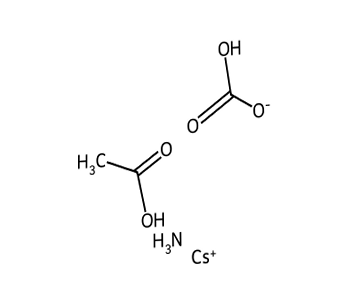 CC(=O)O.N.O=C([O-])O.[Cs+]